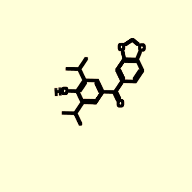 CC(C)c1cc(C(=O)c2ccc3c(c2)OCO3)cc(C(C)C)c1O